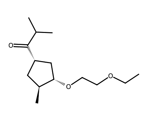 CCOCCO[C@H]1C[C@@H](C(=O)C(C)C)C[C@@H]1C